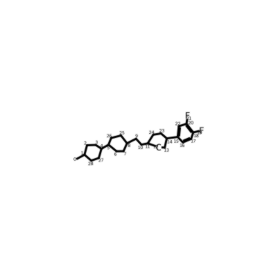 CC1CCC(C2CCC(CCC3CCC(c4ccc(F)c(F)c4)CC3)CC2)CC1